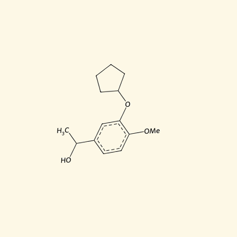 COc1ccc(C(C)O)cc1OC1CCCC1